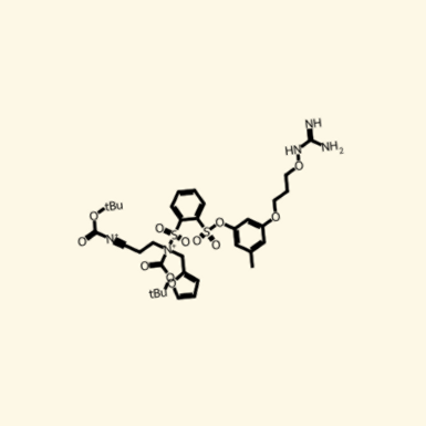 Cc1cc(OCCCONC(=N)N)cc(OS(=O)(=O)c2ccccc2S(=O)(=O)[N+](CCC#[N+]C(=O)OC(C)(C)C)(Cc2ccco2)C(=O)OC(C)(C)C)c1